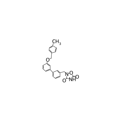 Cc1ccc(COc2cccc(-c3cccc(Cn4oc(=O)[nH]c4=O)c3)c2)cc1